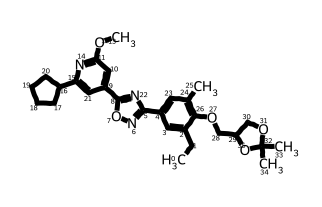 CCc1cc(-c2noc(-c3cc(OC)nc(C4CCCC4)c3)n2)cc(C)c1OCC1COC(C)(C)O1